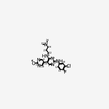 COc1ncc(-c2cnc(Nc3ccc(F)c(Cl)c3)nc2NCCCN(C)C)cn1